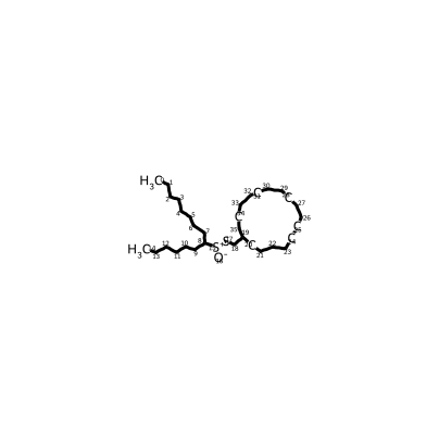 CCCCCCCCC(CCCCCC)[S+]([O-])SCC1CCCCCCCCCCCCCCCC1